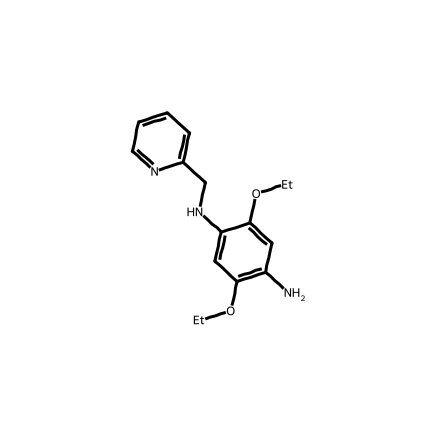 CCOc1cc(NCc2ccccn2)c(OCC)cc1N